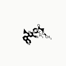 CCO[C@@H]1CC1C(=O)N1CCN(c2nc(C3CC3)c(-c3cccc4cnccc34)cc2C#N)C[C@H]1C